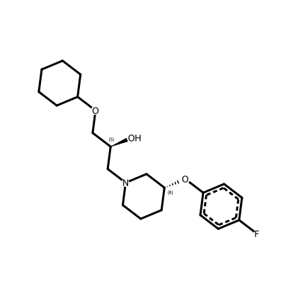 O[C@H](COC1CCCCC1)CN1CCC[C@@H](Oc2ccc(F)cc2)C1